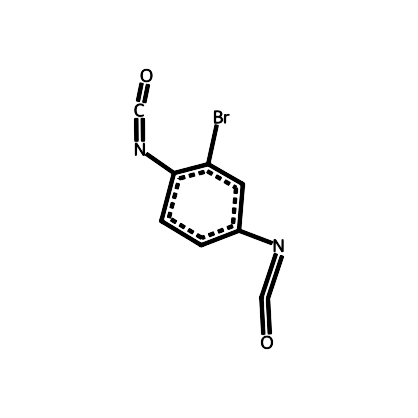 O=C=Nc1ccc(N=C=O)c(Br)c1